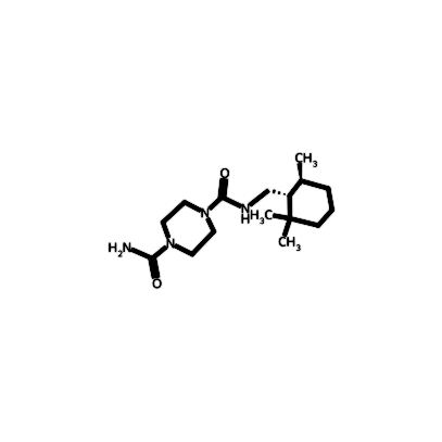 C[C@H]1CCCC(C)(C)[C@@H]1CNC(=O)N1CCN(C(N)=O)CC1